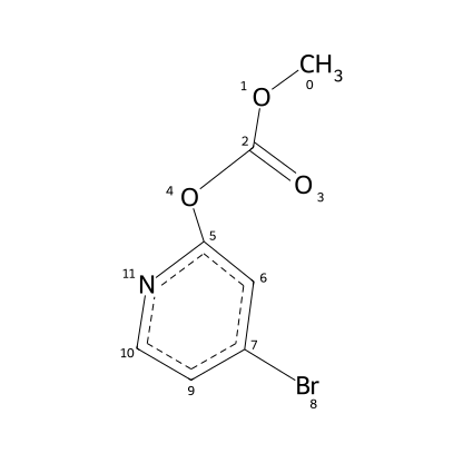 COC(=O)Oc1cc(Br)ccn1